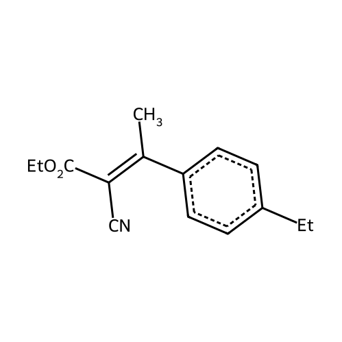 CCOC(=O)C(C#N)=C(C)c1ccc(CC)cc1